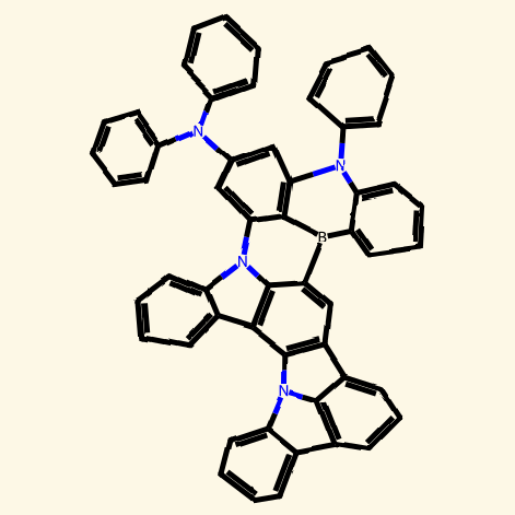 c1ccc(N(c2ccccc2)c2cc3c4c(c2)-n2c5ccccc5c5c2c(cc2c6cccc7c8ccccc8n(c76)c25)B4c2ccccc2N3c2ccccc2)cc1